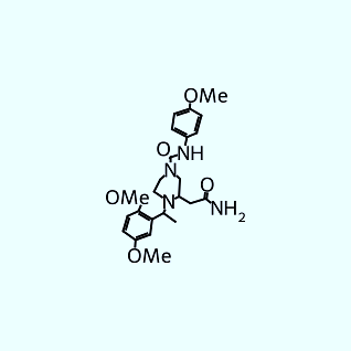 COc1ccc(NC(=O)N2CCN(C(C)c3cc(OC)ccc3OC)C(CC(N)=O)C2)cc1